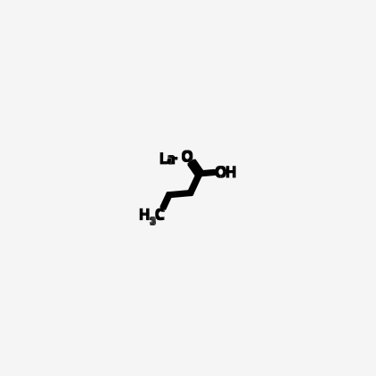 CCCC(=O)O.[La]